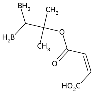 BC(B)C(C)(C)OC(=O)/C=C\C(=O)O